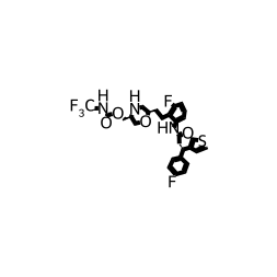 O=C(C[C@@H](c1ccc(F)cc1)c1ccsc1)Nc1cccc(F)c1CC[C@@H]1CN[C@H](COC(=O)NCC(F)(F)F)CO1